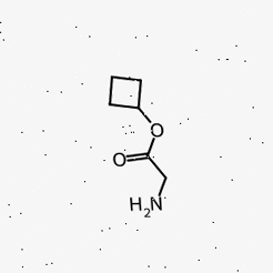 NCC(=O)OC1CCC1